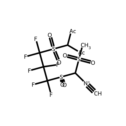 C#[N+]C(S(C)(=O)=O)S(=O)(=O)C(F)(F)C(F)(F)C(F)(F)S(=O)(=O)C(C(C)=O)C(C)=O